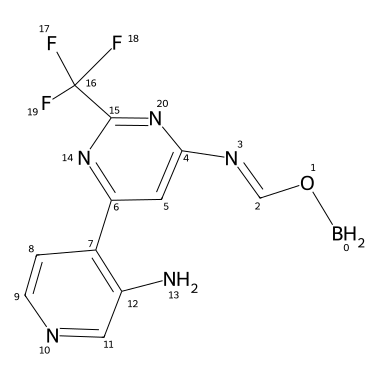 BOC=Nc1cc(-c2ccncc2N)nc(C(F)(F)F)n1